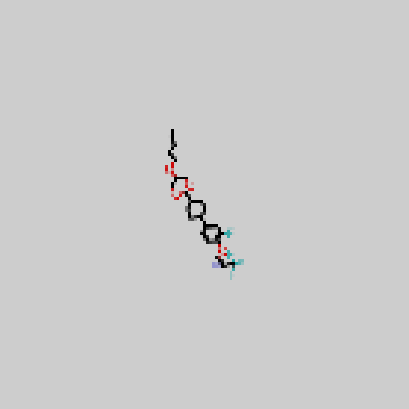 CCCCCOC1COC(C2CCC(c3ccc(O/C=C\C(F)(F)F)c(F)c3)CC2)OC1